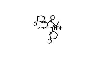 CNC(C)=C1C(=O)c2c(cc(C)c3c2CCCC3=O)C1C1=CC(=O)CCC1